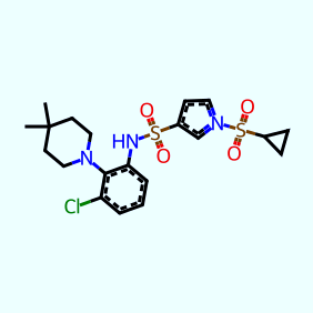 CC1(C)CCN(c2c(Cl)cccc2NS(=O)(=O)c2ccn(S(=O)(=O)C3CC3)c2)CC1